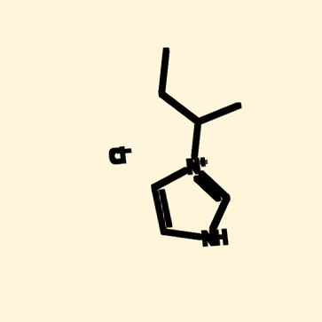 CCC(C)[n+]1cc[nH]c1.[Cl-]